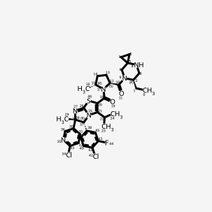 CC[C@@H]1CNC2(CC2)CN1C(=O)[C@@H]1CC[C@@H](C)N1C(=O)C1=C(C(C)C)N2C(=N[C@@](C)(c3ccc(Cl)nc3)[C@H]2c2ccc(Cl)c(F)c2)S1